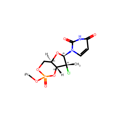 CC(C)OP1(=O)OC[C@H]2O[C@@H](n3ccc(=O)[nH]c3=O)[C@](C)(Cl)[C@@H]2O1